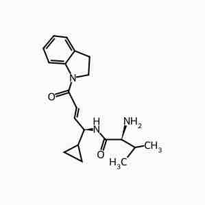 CC(C)[C@H](N)C(=O)N[C@H](C=CC(=O)N1CCc2ccccc21)C1CC1